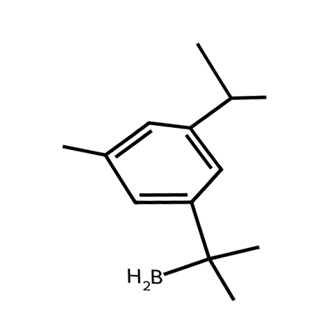 BC(C)(C)c1cc(C)cc(C(C)C)c1